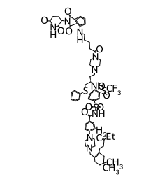 C=C(CC)CCC1=C(CN2CCN(c3ccc(C(=O)NS(=O)(=O)c4ccc(N[C@H](CCN5CCN(C(=O)CCCCNc6cccc7c6C(=O)N(C6CCC(=O)NC6=O)C7=O)CC5)CSc5ccccc5)c(S(=O)(=O)C(F)(F)F)c4)cc3)CC2)CCC(C)(C)C1